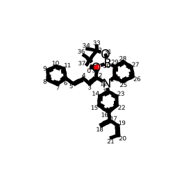 C=C/C(=C\C=C\c1ccccc1)N(c1ccc(C(=C)/C=C\C)cc1)c1ccccc1B1OC(C)(C)C(C)(C)O1